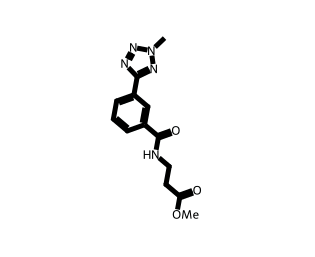 COC(=O)CCNC(=O)c1cccc(-c2nnn(C)n2)c1